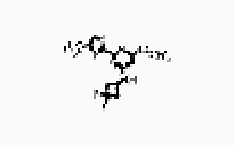 COc1cc(NC2CC(F)(F)C2)nc(-c2nc(C)cs2)n1